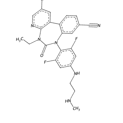 CCN1C(=O)N(c2c(F)cc(NCCNC)cc2F)c2cc(C#N)ccc2-c2cc(Cl)cnc21